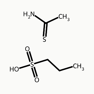 CC(N)=S.CCCS(=O)(=O)O